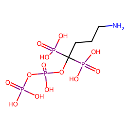 NCCCC(OP(=O)(O)OP(=O)(O)O)(P(=O)(O)O)P(=O)(O)O